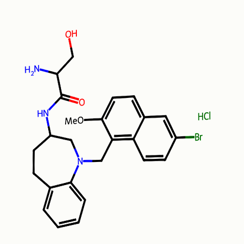 COc1ccc2cc(Br)ccc2c1CN1CC(NC(=O)C(N)CO)CCc2ccccc21.Cl